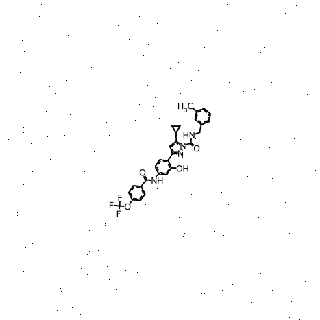 Cc1cccc(CNC(=O)n2nc(-c3ccc(NC(=O)c4ccc(OC(F)(F)F)cc4)cc3O)cc2C2CC2)c1